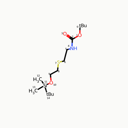 CC(C)(C)OC(=O)NCCSCCO[Si](C)(C)C(C)(C)C